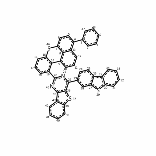 c1ccc(-c2ccc3c4c(cccc24)-c2c(cccc2-c2nc(-c4ccc5c(c4)sc4ccccc45)c4sc5ccccc5c4n2)S3)cc1